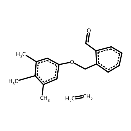 C=C.Cc1cc(OCc2ccccc2C=O)cc(C)c1C